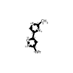 CCCc1cc(-c2csc(C)n2)on1